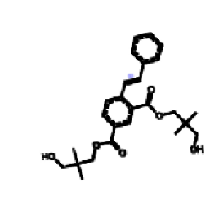 CC(C)(CO)COC(=O)c1ccc(/C=C/c2ccccc2)c(C(=O)OCC(C)(C)CO)c1